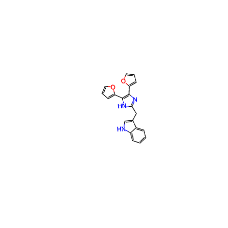 c1coc(-c2nc(Cc3c[nH]c4ccccc34)[nH]c2-c2ccco2)c1